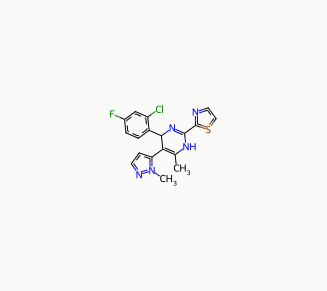 CC1=C(c2ccnn2C)C(c2ccc(F)cc2Cl)N=C(c2nccs2)N1